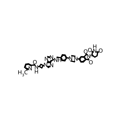 Cc1cccc(C(=O)NC2CC(n3cnc4c(NCc5ccc(N6CCN(c7ccc8c(c7)C(=O)N([C@H]7CCC(=O)NC7=O)C8=O)CC6)cc5)ncnc43)C2)n1